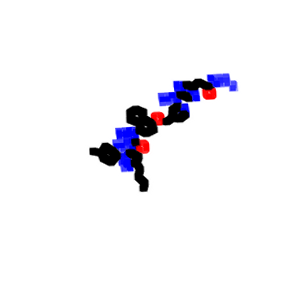 CCCCc1cc(NC(=O)Nc2ccc(OCc3ccnc(Nc4cnc(CC(N)=O)cn4)c3)c3ccccc23)n(-c2ccc(C)cc2)n1